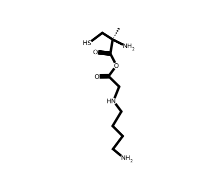 C[C@@](N)(CS)C(=O)OC(=O)CNCCCCN